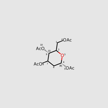 CC(=O)OCC1O[C@H](OC(C)=O)CC(OC(C)=O)[C@@H]1OC(C)=O